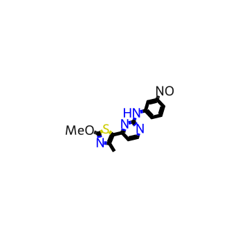 COc1nc(C)c(-c2ccnc(Nc3cccc(N=O)c3)n2)s1